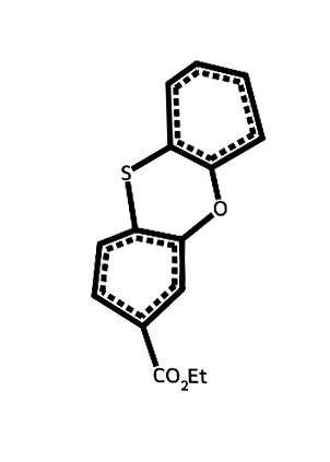 CCOC(=O)c1ccc2c(c1)Oc1ccccc1S2